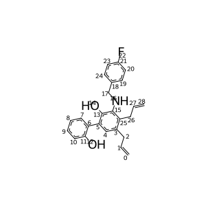 C=CCc1cc(-c2ccccc2O)c(O)c(NCc2ccc(F)cc2)c1CC=C